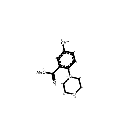 COC(=O)c1cc(C=O)ccc1N1CCOCC1